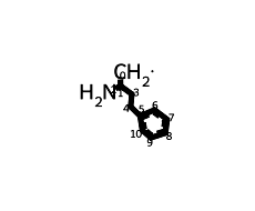 [CH2]C(N)CCc1ccccc1